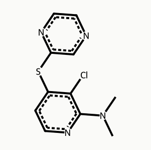 CN(C)c1nccc(Sc2cnccn2)c1Cl